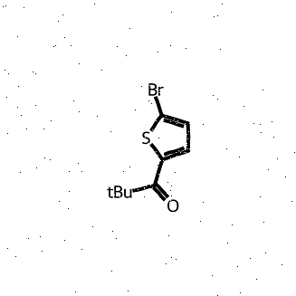 CC(C)(C)C(=O)c1ccc(Br)s1